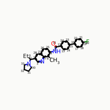 CCC(c1cnc2c(C)c(NC(=O)c3ccc(-c4ccc(F)cc4)cc3)ccc2c1)N1CCCC1